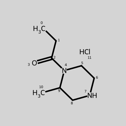 CCC(=O)N1CCNCC1C.Cl